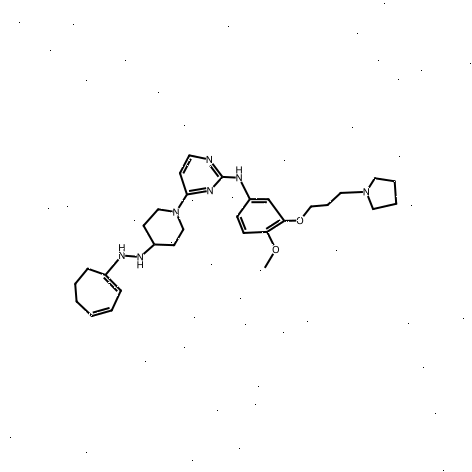 COc1ccc(Nc2nccc(N3CCC(NNC4=CC=CCCC4)CC3)n2)cc1OCCCN1CCCC1